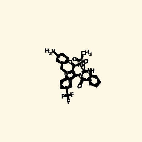 CS(=O)(=O)NC(=O)c1c(-n2c(=O)[nH]c3ccccc3c2=O)c2cc(C(F)(F)F)ccc2n1Cc1cccc(N)c1